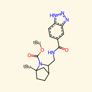 CC(C)(C)OC(=O)N1C(CNC(=O)c2ccc3[nH]nnc3c2)C2CCC1(C(C)(C)C)C2